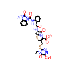 CCn1c(SCC2=C(C(=O)O)N3C(=O)C(NC(=O)Cc4ccccc4NC(=O)n4c(=O)[nH]c5ccccc54)[C@H]3SC2)nnc(O)c1=O